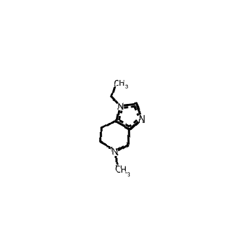 CCn1cnc2c1CCN(C)C2